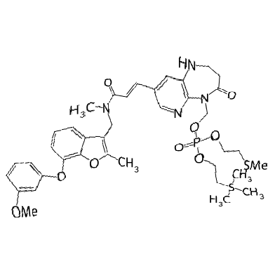 COc1cccc(Oc2cccc3c(CN(C)C(=O)/C=C/c4cnc5c(c4)NCCC(=O)N5COP(=O)(OCCSC)OCCS(C)(C)C)c(C)oc23)c1